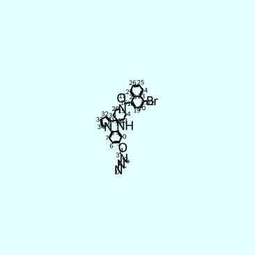 [N-]=[N+]=NCOc1ccc2c(c1)NC1(CCN(C(=O)c3ccc(Br)c4ccccc34)CC1)c1cccn1-2